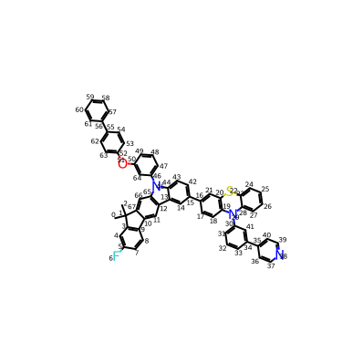 CC1(C)c2cc(F)ccc2-c2cc3c4cc(-c5ccc6c(c5)Sc5ccccc5N6c5cccc(-c6ccncc6)c5)ccc4n(-c4cccc(Oc5ccc(-c6ccccc6)cc5)c4)c3cc21